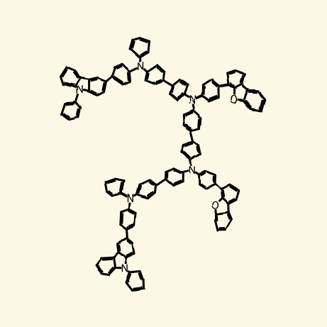 c1ccc(N(c2ccc(-c3ccc(N(c4ccc(-c5ccc(N(c6ccc(-c7ccc(N(c8ccccc8)c8ccc(-c9ccc%10c(c9)c9ccccc9n%10-c9ccccc9)cc8)cc7)cc6)c6ccc(-c7cccc8c7oc7ccccc78)cc6)cc5)cc4)c4ccc(-c5cccc6c5oc5ccccc56)cc4)cc3)cc2)c2ccc(-c3ccc4c(c3)c3ccccc3n4-c3ccccc3)cc2)cc1